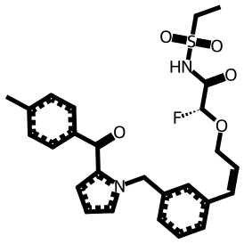 CCS(=O)(=O)NC(=O)[C@@H](F)OC/C=C\c1cccc(Cn2cccc2C(=O)c2ccc(C)cc2)c1